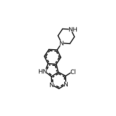 Clc1ncnc2[nH]c3ccc(N4CCNCC4)cc3c12